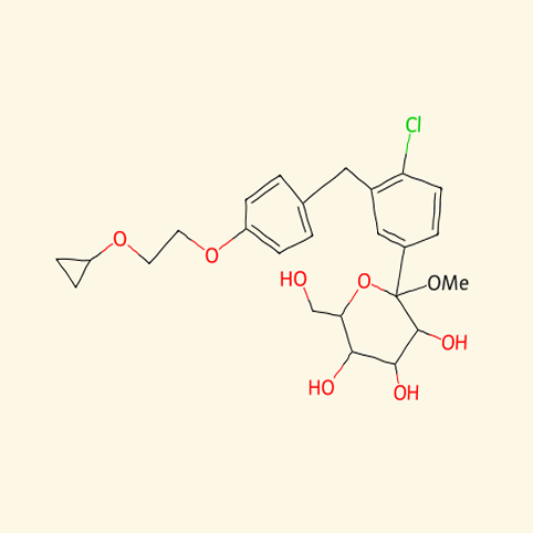 COC1(c2ccc(Cl)c(Cc3ccc(OCCOC4CC4)cc3)c2)OC(CO)C(O)C(O)C1O